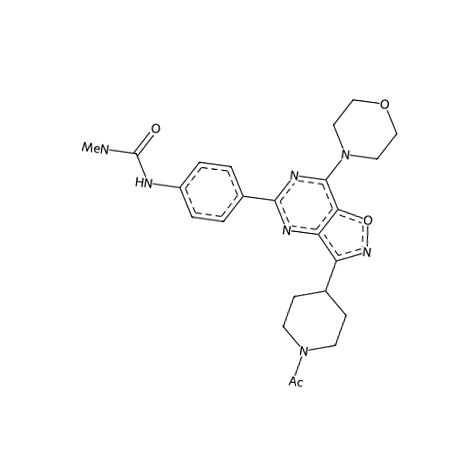 CNC(=O)Nc1ccc(-c2nc(N3CCOCC3)c3onc(C4CCN(C(C)=O)CC4)c3n2)cc1